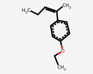 CC/C=C(/C)c1ccc(OCC)cc1